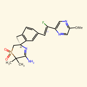 COc1cnc(/C(F)=C/c2ccc3c(c2)[C@]2(C3)CS(=O)(=O)C(C)(C)C(N)=N2)cn1